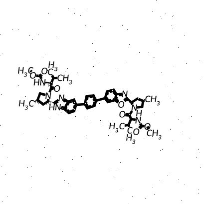 COC(=O)NC(C(=O)N1CC(C)CC1c1nc2ccc(-c3ccc(-c4ccc5[nH]c([C@@H]6C[C@H](C)CN6C(=O)[C@@H](NC(=O)OC)C(C)C)nc5c4)cc3)cc2o1)C(C)C